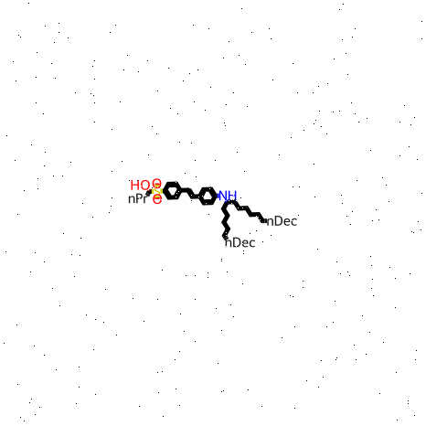 CCCCCCCCCCCCCCCCC(CCCCCCCCCCCCCCC)Nc1ccc(C=Cc2ccc(S(=O)(=O)C(O)CCC)cc2)cc1